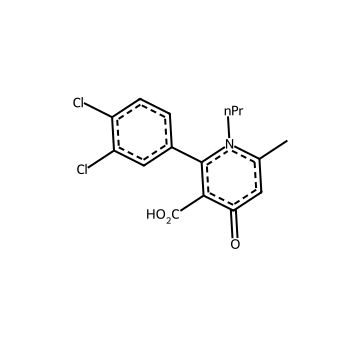 CCCn1c(C)cc(=O)c(C(=O)O)c1-c1ccc(Cl)c(Cl)c1